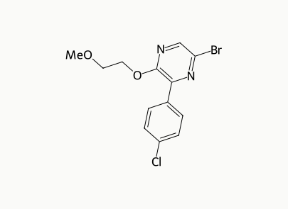 COCCOc1ncc(Br)nc1-c1ccc(Cl)cc1